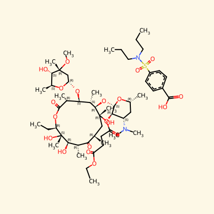 CCCN(CCC)S(=O)(=O)c1ccc(C(=O)O)cc1.CCOC(=O)CCC(=O)O[C@H]1[C@H](O[C@@H]2[C@@H](C)[C@H](O[C@H]3C[C@@](C)(OC)[C@@H](O)[C@H](C)O3)[C@@H](C)C(=O)O[C@H](CC)[C@@](C)(O)[C@H](O)[C@@H](C)C(=O)[C@H](C)C[C@@]2(C)O)O[C@H](C)C[C@@H]1N(C)C